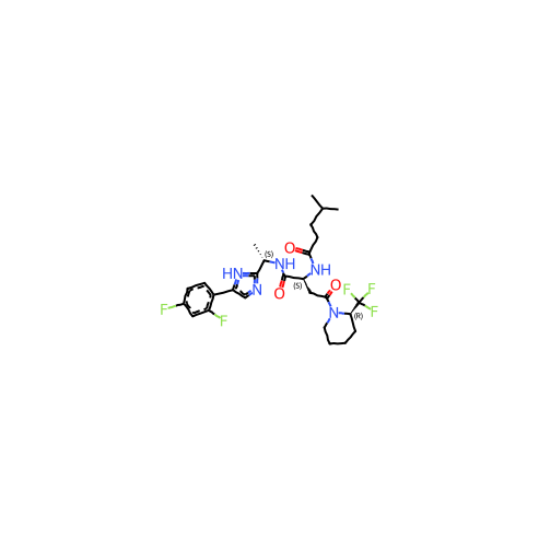 CC(C)CCC(=O)N[C@@H](CC(=O)N1CCCC[C@@H]1C(F)(F)F)C(=O)N[C@@H](C)c1ncc(-c2ccc(F)cc2F)[nH]1